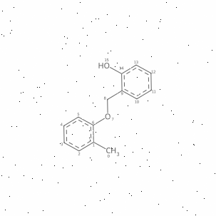 Cc1ccccc1OCc1ccccc1O